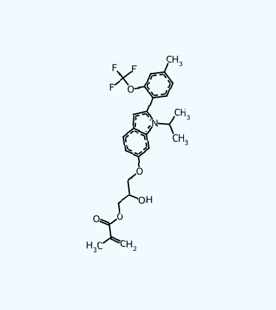 C=C(C)C(=O)OCC(O)COc1ccc2cc(-c3ccc(C)cc3OC(F)(F)F)n(C(C)C)c2c1